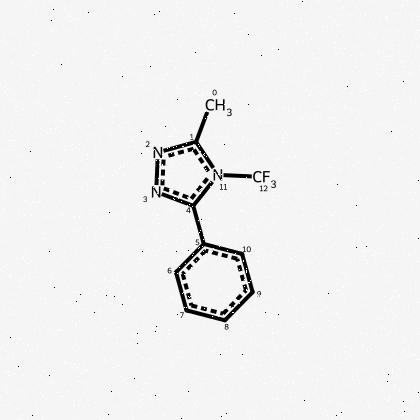 Cc1nnc(-c2ccccc2)n1C(F)(F)F